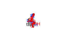 Cc1ncsc1-c1ccc(CNC(=O)[C@@H]2C[C@@H](O)CN2C(=O)[C@@H](NC(=O)C2(F)CC2)C(C)(C)C)c(OCCOc2cnc(N3CCCCC3)nc2)c1